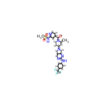 C[C@@H]1C[C@@H](N2Cc3cnc(Nc4ccc(C(F)(F)F)cc4)nc3C2)CCN1C(=O)c1ccnc(NS(C)(=O)=O)c1